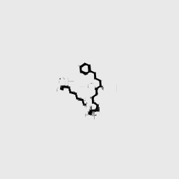 C[C@@H](CCCc1ccccc1)[C@H](O)CCC1CC(F)(F)C(=O)N1CCCCCCC(=O)O